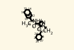 C=Cn1ncc(C(=O)NC(C)C2CC3CCCC(C3)C2)c1OCC1CCCCC1